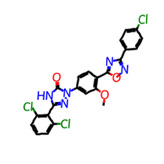 COc1cc(-n2nc(-c3c(Cl)cccc3Cl)[nH]c2=O)ccc1-c1nc(-c2ccc(Cl)cc2)no1